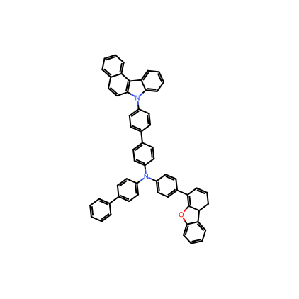 C1=CC(c2ccc(N(c3ccc(-c4ccccc4)cc3)c3ccc(-c4ccc(-n5c6ccccc6c6c7ccccc7ccc65)cc4)cc3)cc2)=C2Oc3ccccc3C2C1